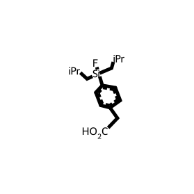 CC(C)C[Si](F)(CC(C)C)c1ccc(CC(=O)O)cc1